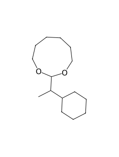 CC(C1CCCCC1)C1OCCCCCCO1